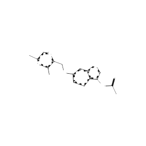 CC(=O)Oc1csc2cc(OCc3ncc(C)nc3C)ccc12